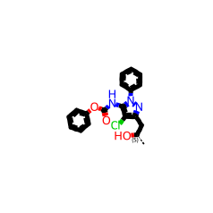 C[C@H](O)Cc1nn(-c2ccccc2)c(NC(=O)Oc2ccccc2)c1Cl